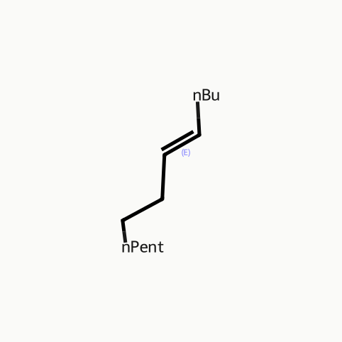 [CH2]CCC/C=C/CCCCCC[CH2]